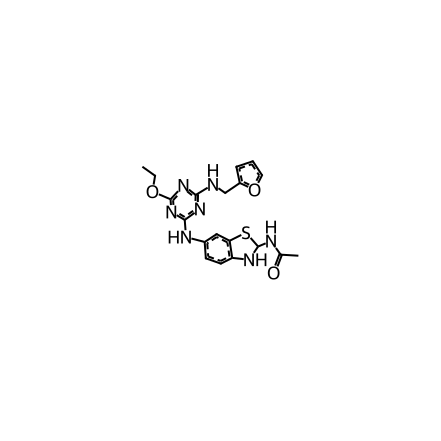 CCOc1nc(NCc2ccco2)nc(Nc2ccc3c(c2)SC(NC(C)=O)N3)n1